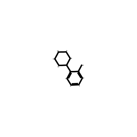 Cc1ccccc1[C]1CCCCC1